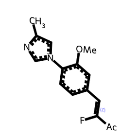 COc1cc(/C=C(\F)C(C)=O)ccc1-n1cnc(C)c1